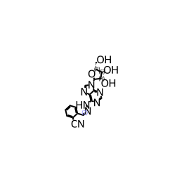 N#Cc1ccccc1/C=N\Nc1ncnc2c1ncn2C1O[C@H](CO)[C@@H](O)[C@H]1O